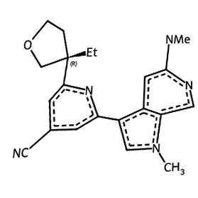 CC[C@]1(c2cc(C#N)cc(-c3cn(C)c4cnc(NC)cc34)n2)CCOC1